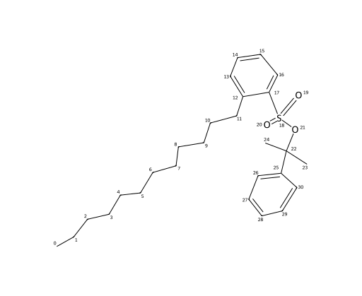 CCCCCCCCCCCCc1ccccc1S(=O)(=O)OC(C)(C)c1ccccc1